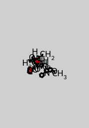 C=C[C@@H]1C[C@]1(NC(=O)[C@@H]1C[C@@H](Oc2cc(-c3ccccc3)nc3cc(OC)ccc23)CN1C(=O)[C@@H](CC(=O)N1CC2CC3CC(C2)CC1C3)C(C)(C)C)C(=O)NS(=O)(=O)C1CC1